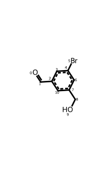 O=Cc1cc(Br)cc(CO)c1